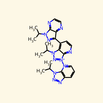 CC(C)n1nc(-c2ccnc3c2n(C(C)C)n[n+]3-[n+]2cccc3nnn(C(C)C)c32)c2nccnc21